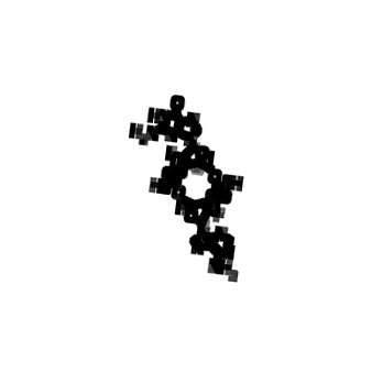 Nc1nc2c(ncn2[C@@H]2O[C@@H]3COP(=O)(S)O[C@H]4[C@@H](F)[C@H](n5cnc6c(N)ncnc65)O[C@@H]4COP(=O)(S)O[C@H]3[C@H]2F)c(=O)[nH]1